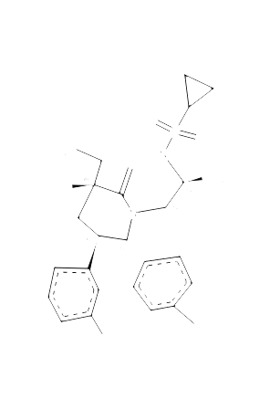 CC[C@@H]([C@H](C)NS(=O)(=O)C1CC1)N1C(=O)[C@@](C)(CC(=O)O)C[C@H](c2cccc(Cl)c2)[C@H]1c1ccc(Cl)cc1